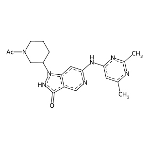 CC(=O)N1CCCC(n2[nH]c(=O)c3cnc(Nc4cc(C)nc(C)n4)cc32)C1